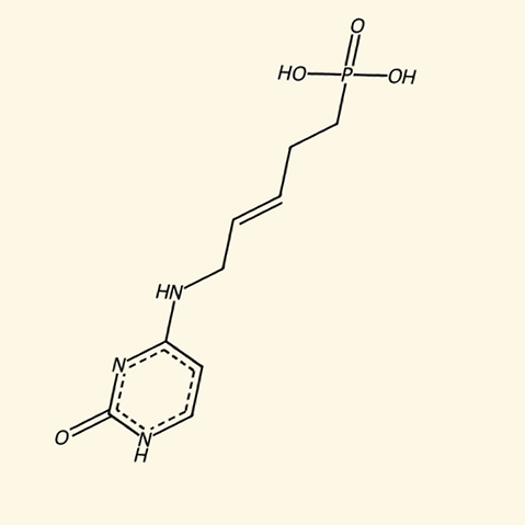 O=c1nc(NCC=CCCP(=O)(O)O)cc[nH]1